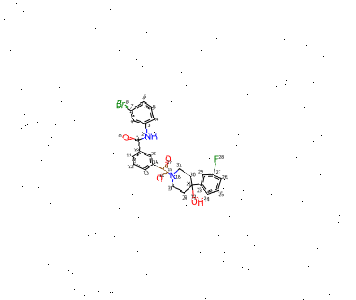 O=C(Nc1cccc(Br)c1)c1cccc(S(=O)(=O)N2CCC(O)(c3cccc(F)c3)CC2)c1